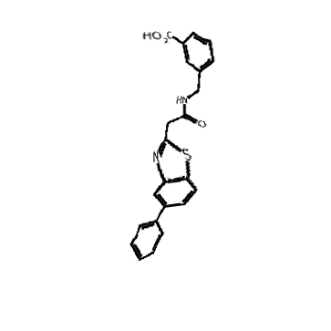 O=C(Cc1nc2cc(-c3ccccc3)ccc2s1)NCc1cccc(C(=O)O)c1